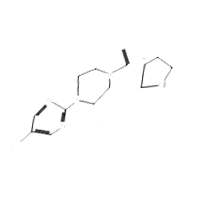 Cl.O=C([C@@H]1CCNC1)N1CCN(c2ncc(C(F)(F)F)cn2)CC1